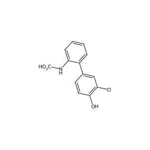 O=C(O)Nc1ccccc1-c1ccc(O)c(Cl)c1